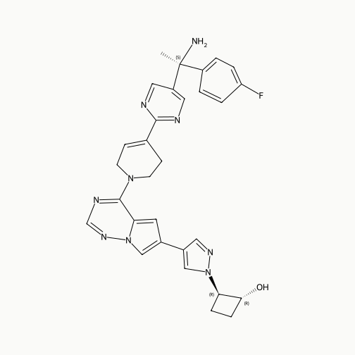 C[C@](N)(c1ccc(F)cc1)c1cnc(C2=CCN(c3ncnn4cc(-c5cnn([C@@H]6CC[C@H]6O)c5)cc34)CC2)nc1